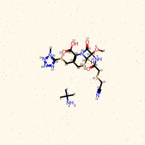 CC(C)(C)N.CO[C@@]1(NC(=O)CSCC#N)C(=O)N2C(C(=O)O)=C(CSc3nnnn3C)CS[C@@H]21